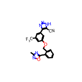 Cc1noc(-c2ccccc2COc2cc(-c3nn[nH]c3C#N)cc(C(F)(F)F)c2)n1